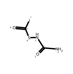 NC(=O)NSC(=O)I